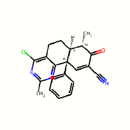 Cc1nc(Cl)c2c(n1)[C@@]1(c3ccccc3)C=C(C#N)C(=O)[C@@H](C)[C@@H]1CC2